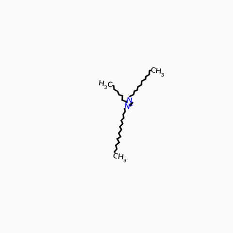 CCCCCCCCCCCCCCCC[n+]1ccn(CCCCCCCCCCCC)c1CCCCCCC